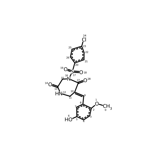 COc1ccc(O)cc1/C=C1\CNC(=O)CN(S(=O)(=O)c2ccc(Cl)cc2)C1=O